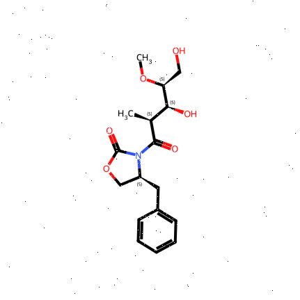 CO[C@@H](CO)[C@@H](O)[C@H](C)C(=O)N1C(=O)OC[C@@H]1Cc1ccccc1